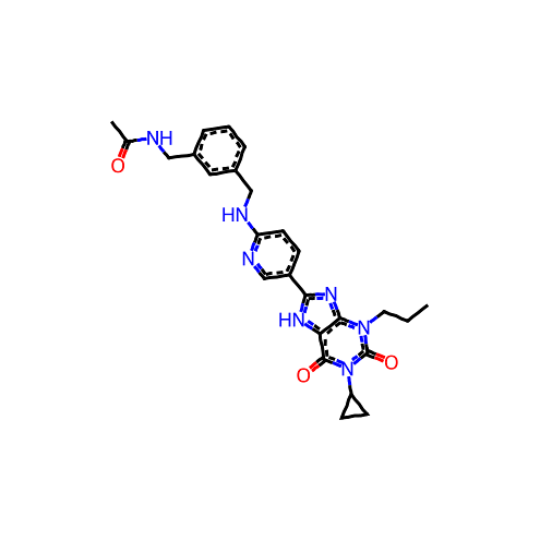 CCCn1c(=O)n(C2CC2)c(=O)c2[nH]c(-c3ccc(NCc4cccc(CNC(C)=O)c4)nc3)nc21